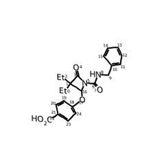 CCC1(CC)C(=O)N(C(=O)NCc2ccccc2)C1Oc1ccc(C(=O)O)cc1